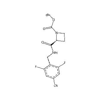 CC(C)(C)OC(=O)N1CC[C@H]1C(=O)NCc1c(F)cc(C#N)cc1F